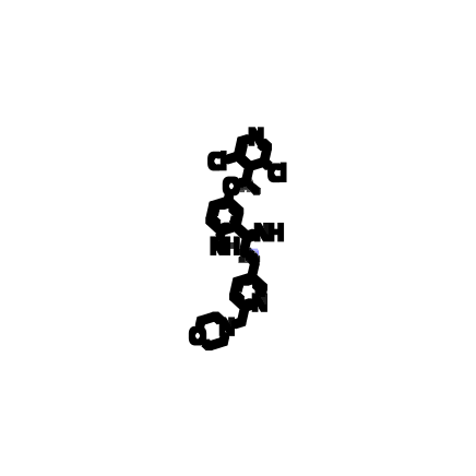 C[C@@H](Oc1ccc(N)c(C(=N)/C=C/c2ccc(CN3CCOCC3)nc2)c1)C1C(Cl)=CN=CC1Cl